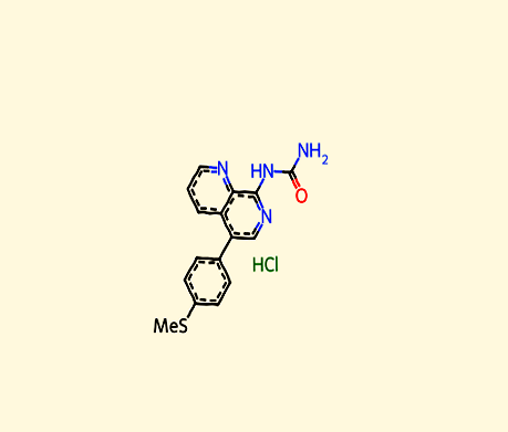 CSc1ccc(-c2cnc(NC(N)=O)c3ncccc23)cc1.Cl